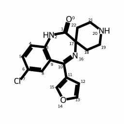 O=C1Nc2ccc(Cl)cc2C(c2ccoc2)=NC12CCNCC2